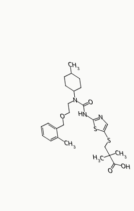 Cc1ccccc1COCCN(C(=O)Nc1ncc(SCC(C)(C)C(=O)O)s1)C1CCC(C)CC1